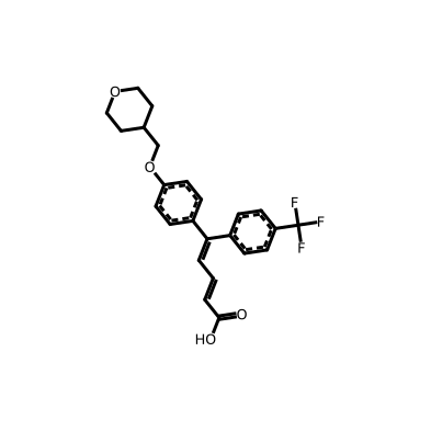 O=C(O)C=CC=C(c1ccc(OCC2CCOCC2)cc1)c1ccc(C(F)(F)F)cc1